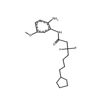 COc1ccc(N)c(NC(=O)CC(F)(F)CCCCC2CCCC2)c1